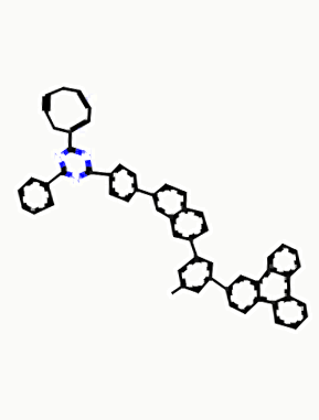 Cc1cc(-c2ccc3ccc(-c4ccc(-c5nc(/C6=C/C=C\CC#CC6)nc(-c6ccccc6)n5)cc4)cc3c2)cc(-c2ccc3c4ccccc4c4ccccc4c3c2)c1